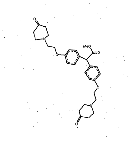 COC(=O)C(c1ccc(OCCN2CCC(=O)CC2)cc1)c1ccc(OCCN2CCC(=O)CC2)cc1